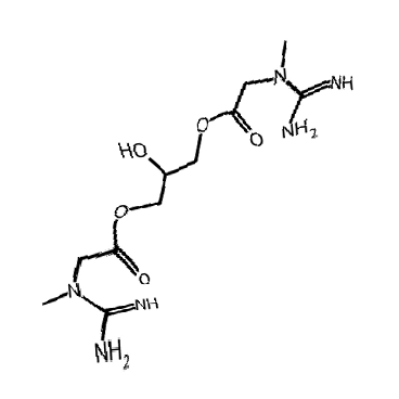 CN(CC(=O)OCC(O)COC(=O)CN(C)C(=N)N)C(=N)N